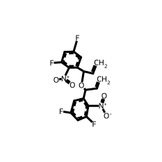 C=CC(OC(C=C)c1cc(F)cc(F)c1[N+](=O)[O-])c1cc(F)cc(F)c1[N+](=O)[O-]